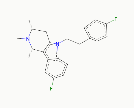 C[C@@H]1Cc2c(c3cc(F)ccc3n2CCc2ccc(F)cc2)[C@H](C)N1C